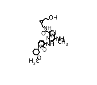 CNc1cc(Nc2cccn([C@@H]3CCC[C@@H](OC)C3)c2=O)nc2c(C(=O)NCC3CC3CCO)cnn12